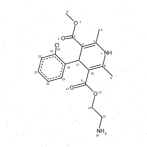 COC(=O)C1=C(C)NC(C)=C(C(=O)OCCN)C1c1ccccc1Cl